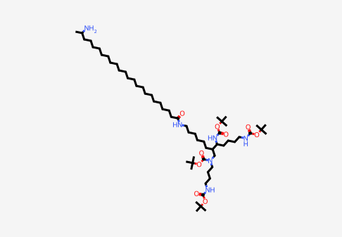 CC(N)CCCCCCCCCCCCCCCCCCCCCC(=O)NCCCCCCC(CN(CCCCNC(=O)OC(C)(C)C)C(=O)OC(C)(C)C)C(CCCCNC(=O)OC(C)(C)C)NC(=O)OC(C)(C)C